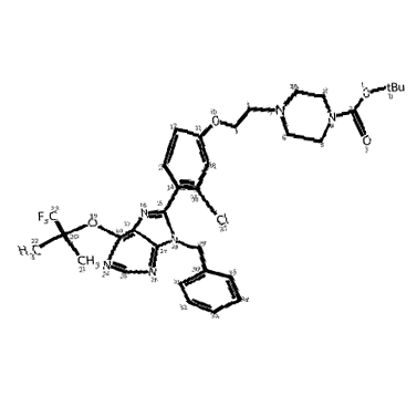 CC(C)(C)OC(=O)N1CCN(CCOc2ccc(-c3nc4c(OC(C)(C)C(F)(F)F)ncnc4n3Cc3ccccc3)c(Cl)c2)CC1